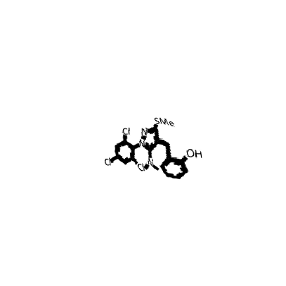 CSc1nn(-c2c(Cl)cc(Cl)cc2Cl)c(N(C)C)c1Cc1ccccc1O